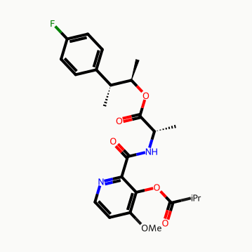 COc1ccnc(C(=O)N[C@@H](C)C(=O)O[C@H](C)[C@H](C)c2ccc(F)cc2)c1OC(=O)C(C)C